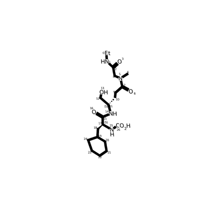 CCNC(=O)CN(C)C(=O)CC[C@@H](CO)NC(=O)[C@H](CC1CCCCC1)NC(=O)O